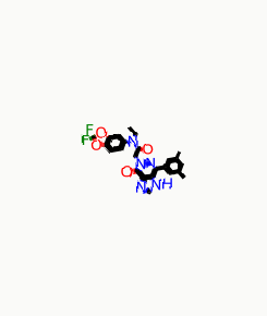 CCN(C(=O)Cn1nc(-c2cc(C)cc(C)c2)c2[nH]cnc2c1=O)c1ccc2c(c1)OC(F)(F)O2